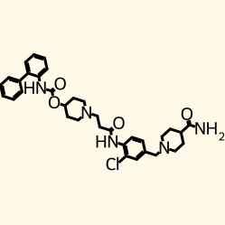 NC(=O)C1CCN(Cc2ccc(NC(=O)CCN3CCC(OC(=O)Nc4ccccc4-c4ccccc4)CC3)c(Cl)c2)CC1